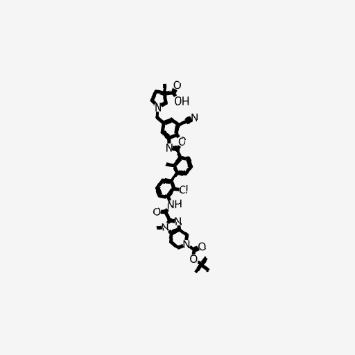 Cc1c(-c2nc3cc(CN4CCC(C)(C(=O)O)C4)cc(C#N)c3o2)cccc1-c1cccc(NC(=O)c2nc3c(n2C)CCN(C(=O)OC(C)(C)C)C3)c1Cl